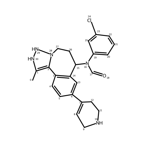 CC1=C2c3ccc(C4=CCNCC4)cc3C(N(C=O)c3cccc(Cl)c3)CCN2NN1